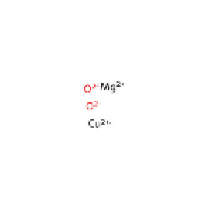 [Cu+2].[Mg+2].[O-2].[O-2]